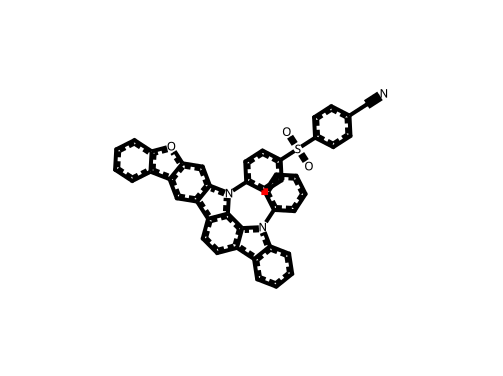 N#Cc1ccc(S(=O)(=O)c2ccc(-n3c4cc5oc6ccccc6c5cc4c4ccc5c6ccccc6n(-c6ccccc6)c5c43)cc2)cc1